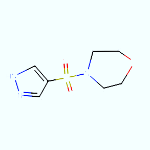 O=S(=O)(c1[c]n[nH]c1)N1CCOCC1